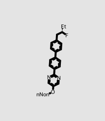 CCCCCCCCCOc1cnc(-c2ccc(-c3ccc(C[C@@H](F)CC)cc3)cc2)nc1